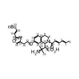 CC=CC=CC(=O)N1CCc2ccc(OCCc3coc(C=CCCCC)n3)cc2C1C(C(=O)O)C(C)(C)N